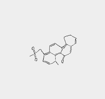 CC1C=CC(CS(C)(=O)=O)=c2ccc3c(c21)C(=O)C=C1C=CCCC=31